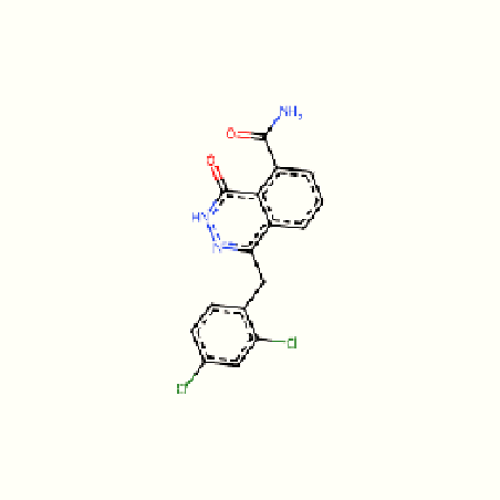 NC(=O)c1[c]ccc2c(Cc3ccc(Cl)cc3Cl)n[nH]c(=O)c12